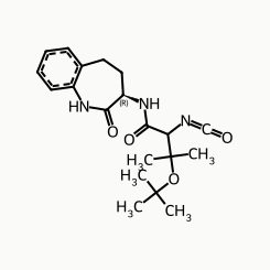 CC(C)(C)OC(C)(C)C(N=C=O)C(=O)N[C@@H]1CCc2ccccc2NC1=O